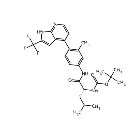 Cc1cc(NC(=O)[C@@H](CC(C)C)NC(=O)OC(C)(C)C)ccc1-c1ccnc2[nH]c(C(F)(F)F)cc12